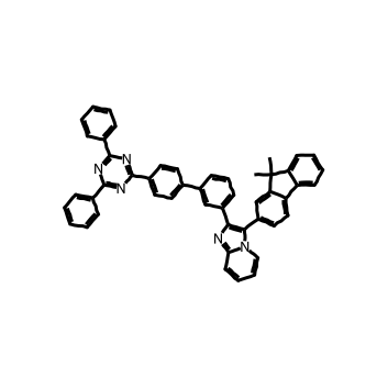 CC1(C)c2ccccc2-c2ccc(-c3c(-c4cccc(-c5ccc(-c6nc(-c7ccccc7)nc(-c7ccccc7)n6)cc5)c4)nc4ccccn34)cc21